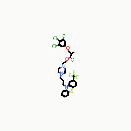 CC(COc1cc(Cl)c(Cl)c(Cl)c1)C(=O)OCCN1CCN(CCCN2c3ccccc3Sc3ccc(C(F)(F)F)cc32)CC1